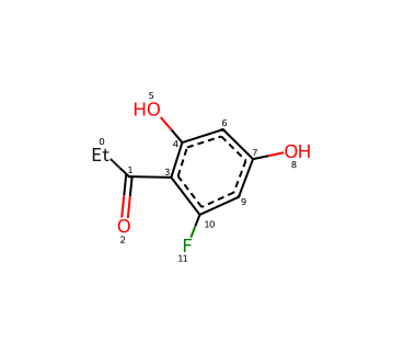 CCC(=O)c1c(O)cc(O)cc1F